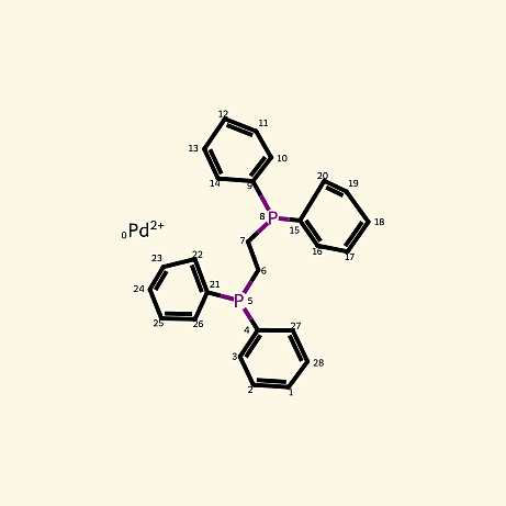 [Pd+2].c1ccc(P(CCP(c2ccccc2)c2ccccc2)c2ccccc2)cc1